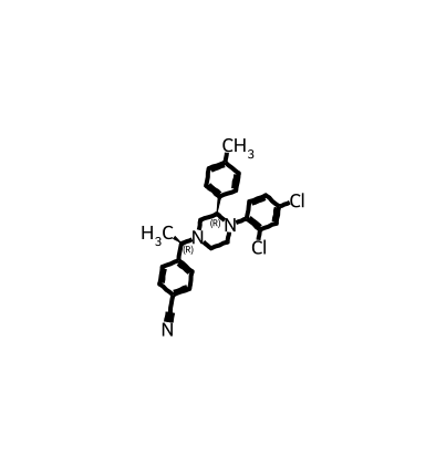 Cc1ccc([C@@H]2CN([C@H](C)c3ccc(C#N)cc3)CCN2c2ccc(Cl)cc2Cl)cc1